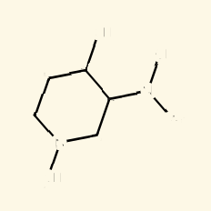 CC(=O)N(C)C1CN(C)CCC1C